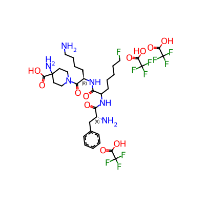 NCCCC[C@@H](NC(=O)C(CCCCCF)NC(=O)[C@H](N)Cc1ccccc1)C(=O)N1CCC(N)(C(=O)O)CC1.O=C(O)C(F)(F)F.O=C(O)C(F)(F)F.O=C(O)C(F)(F)F